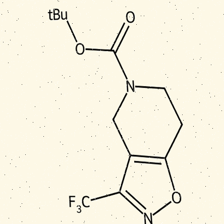 CC(C)(C)OC(=O)N1CCc2onc(C(F)(F)F)c2C1